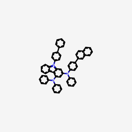 c1ccc(-c2ccc(-n3c4ccccc4c4c(N(c5ccccc5)c5ccccc5)cc(N(c5ccccc5)c5ccc(-c6ccc7ccccc7c6)cc5)cc43)cc2)cc1